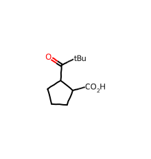 CC(C)(C)C(=O)C1CCCC1C(=O)O